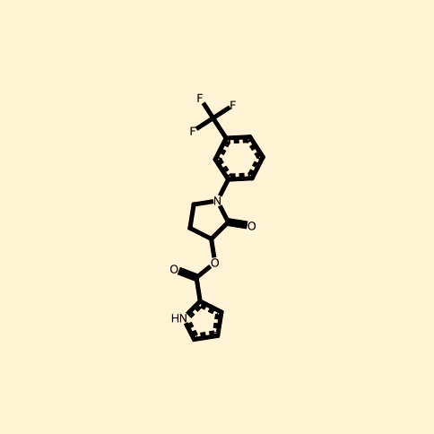 O=C(OC1CCN(c2cccc(C(F)(F)F)c2)C1=O)c1ccc[nH]1